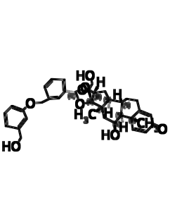 C[C@]12C=CC(=O)C=C1CC[C@@H]1[C@@H]2[C@@H](O)C[C@@]2(C)[C@H]1C[C@H]1O[C@@H](c3cccc(COc4cccc(CO)c4)c3)O[C@]12C(=O)CO